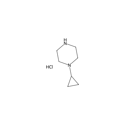 C1CN(C2CC2)CCN1.Cl